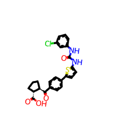 O=C(Nc1cccc(Cl)c1)Nc1ccc(-c2ccc(C(=O)[C@@H]3CCC[C@H]3C(=O)O)cc2)s1